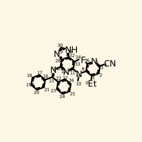 CCc1cc(C#N)nc(F)c1N(C)c1nc(N=C(c2ccccc2)c2ccccc2)c2nc[nH]c2c1C